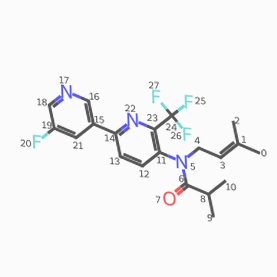 CC(C)=CCN(C(=O)C(C)C)c1ccc(-c2cncc(F)c2)nc1C(F)(F)F